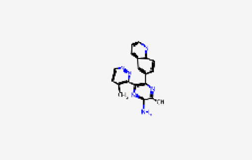 Cc1ccnnc1-c1nc(N)c(C#N)nc1-c1ccc2ncccc2c1